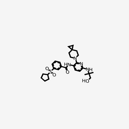 CC(C)(CO)Nc1ccc(NC(=O)c2cccc(S(=O)(=O)C3CCCC3)c2)c(N2CCC3(CC2)CC3)n1